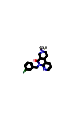 O=C(O)N1CCc2c(c(=O)n(Cc3cccc(F)c3)c3ncccc23)C1